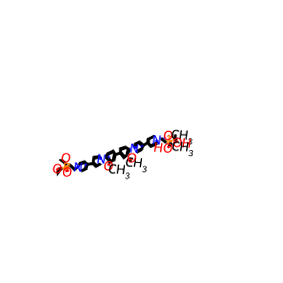 COc1cc(-c2ccc(-[n+]3ccc(-c4cc[n+](CCP(=O)(C5CO5)C5CO5)cc4)cc3)c(OC)c2)ccc1-[n+]1ccc(-c2cc[n+](CCP(=O)(C(C)O)C(C)O)cc2)cc1